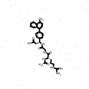 CC(=O)N[C@@H](CCCNC(=N)N)C(=O)NCC(=O)N[C@@H](CC(=O)O)c1ccc(-c2ccc(C)c3ccccc23)cc1